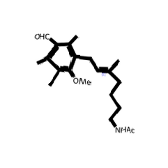 COc1c(C)c(C)c(C=O)c(C)c1C/C=C(\C)CCCCNC(C)=O